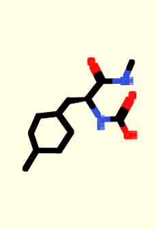 CNC(=O)[C@H](CC1CCC(C)CC1)NC(=O)O